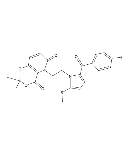 CSc1ccc(C(=O)c2ccc(F)cc2)n1CCC1C(=O)C=CC2=C1C(=O)OC(C)(C)O2